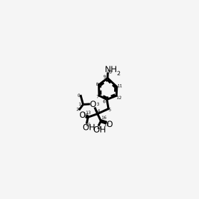 CC(C)OC(Cc1ccc(N)cc1)(C(=O)O)C(=O)O